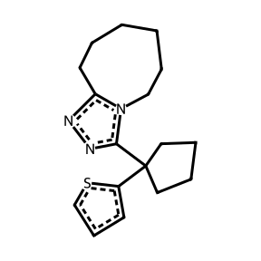 c1csc(C2(c3nnc4n3CCCCCC4)CCCC2)c1